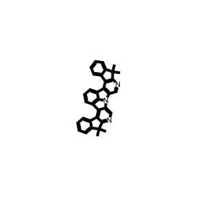 CC1(C)c2ccccc2-c2c1ncc1c2c2cccc3c4c5c(ncc4n1c23)C(C)(C)c1ccccc1-5